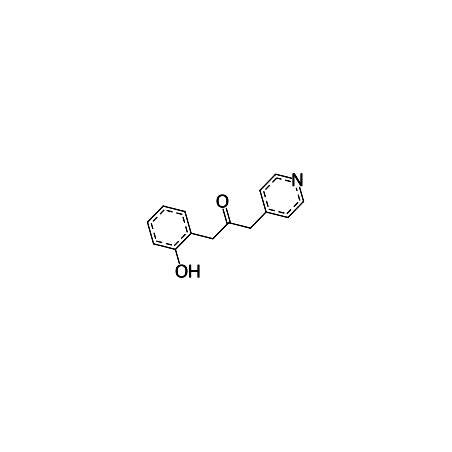 O=C(Cc1ccncc1)Cc1ccccc1O